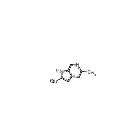 Cc1cc2cc(C(C)(C)C)[nH]c2cn1